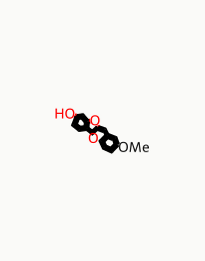 COc1cccc(C=C2Oc3cc(O)ccc3C2=O)c1